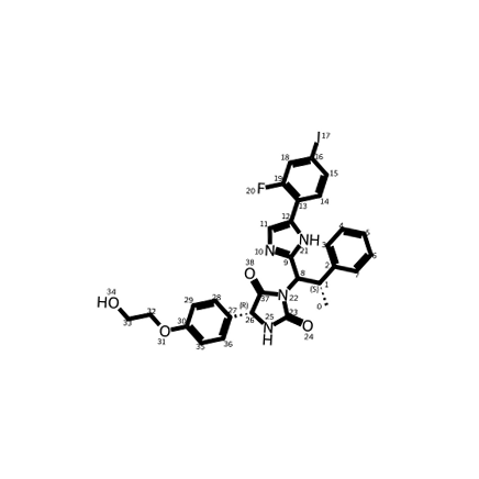 C[C@@H](c1ccccc1)C(c1ncc(-c2ccc(I)cc2F)[nH]1)N1C(=O)N[C@H](c2ccc(OCCO)cc2)C1=O